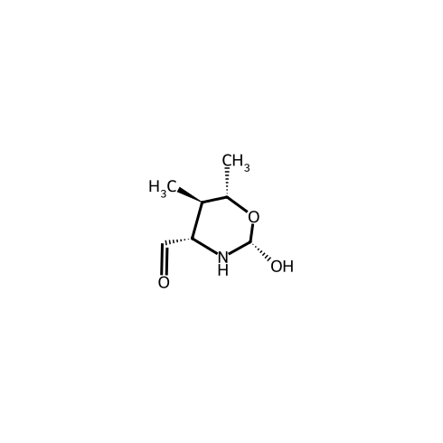 C[C@H]1[C@H](C)O[C@H](O)N[C@@H]1C=O